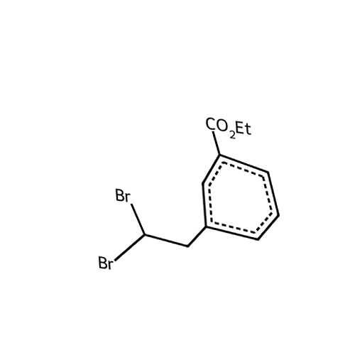 CCOC(=O)c1cccc(CC(Br)Br)c1